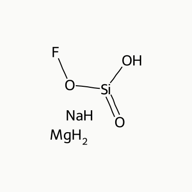 O=[Si](O)OF.[MgH2].[NaH]